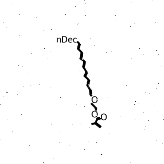 C=C(C)C(=O)OCCOC=CC=CC=CC=CC=CC=CCCCCCCCCCC